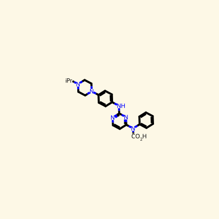 CC(C)N1CCN(c2ccc(Nc3nccc(N(C(=O)O)c4ccccc4)n3)cc2)CC1